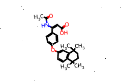 CC(=O)NC(=CC(=O)O)c1ccc(Oc2ccc3c(c2)C(C)(C)CCC3(C)C)cc1